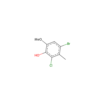 COc1cc(Br)c(C)c(Cl)c1O